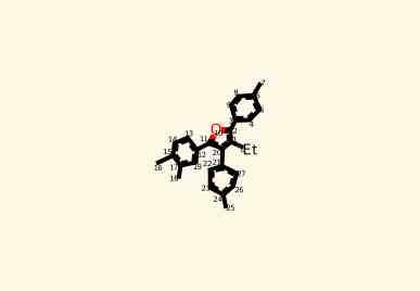 CCc1c(-c2ccc(C)cc2)oc(-c2ccc(C)c(C)c2)c1-c1ccc(C)cc1